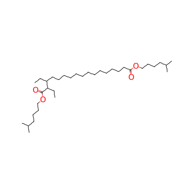 CCC(CCCCCCCCCCCCCC(=O)OCCCCC(C)C)C(CC)C(=O)OCCCCC(C)C